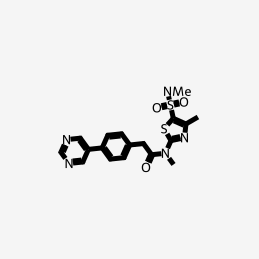 CNS(=O)(=O)c1sc(N(C)C(=O)Cc2ccc(-c3cncnc3)cc2)nc1C